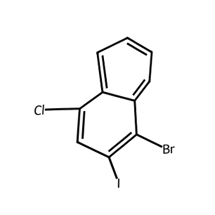 Clc1cc(I)c(Br)c2ccccc12